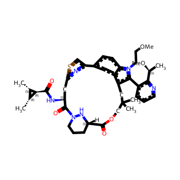 COCCn1c(-c2cccnc2[C@H](C)OC)c2c3cc(ccc31)-c1csc(n1)C[C@H](NC(=O)[C@H]1[C@H](C)[C@@H]1C)C(=O)N1CCC[C@H](N1)C(=O)OCC(C)(C)C2